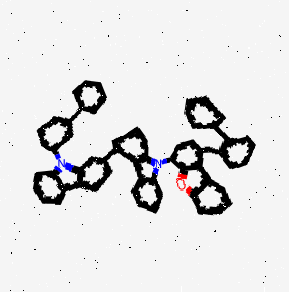 c1ccc(-c2cccc(-n3c4ccccc4c4ccc(-c5cccc6c5c5ccccc5n6-c5ccc(-c6ccccc6-c6ccccc6)c6c5oc5ccccc56)cc43)c2)cc1